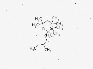 CCC(C)CC[Si]1(C)OC(C)(C)C[Si](C)(C)[Si]1(C)C